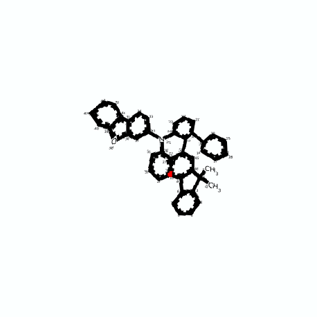 CC1(C)c2ccccc2-c2ccc(-c3c(-c4ccccc4)cccc3N(c3ccccc3)c3ccc4c(c3)oc3ccccc34)cc21